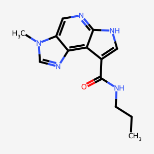 CCCNC(=O)c1c[nH]c2ncc3c(ncn3C)c12